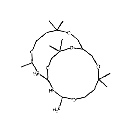 BC1BC2BC(C)OCCC(C)(C)OCC(COC(C)(C)CCO1)OC(C)(C)CO2